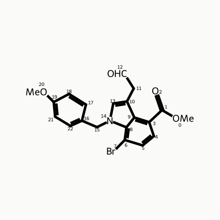 COC(=O)c1ccc(Br)c2c1c(CC=O)cn2Cc1ccc(OC)cc1